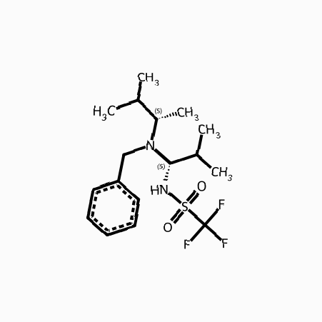 CC(C)[C@H](C)N(Cc1ccccc1)[C@@H](NS(=O)(=O)C(F)(F)F)C(C)C